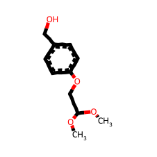 COC(COc1ccc(CO)cc1)OC